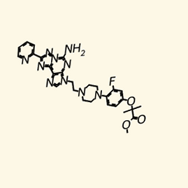 COC(=O)C(C)(C)Oc1ccc(N2CCN(CCn3cnc4c3nc(N)n3nc(-c5ccccn5)nc43)CC2)c(F)c1